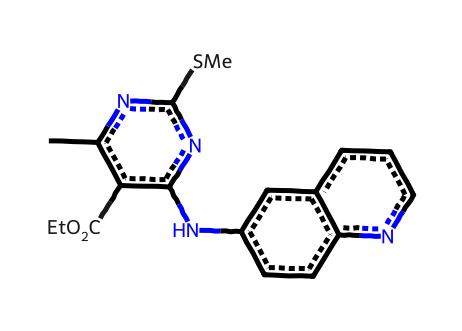 CCOC(=O)c1c(C)nc(SC)nc1Nc1ccc2ncccc2c1